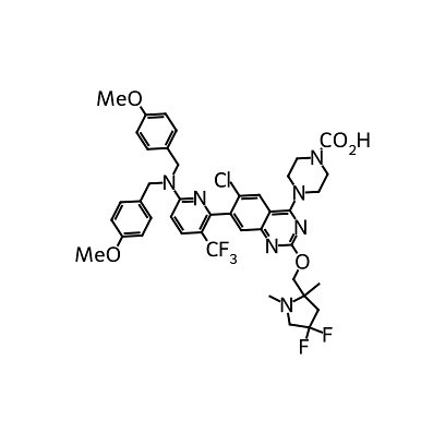 COc1ccc(CN(Cc2ccc(OC)cc2)c2ccc(C(F)(F)F)c(-c3cc4nc(OCC5(C)CC(F)(F)CN5C)nc(N5CCN(C(=O)O)CC5)c4cc3Cl)n2)cc1